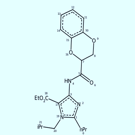 CCCc1nc(NC(=O)C2COc3ccccc3O2)c(C(=O)OCC)n1CC(C)C